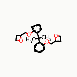 CC(C)(c1ccccc1OCC1CCO1)c1ccccc1OCC1CCO1